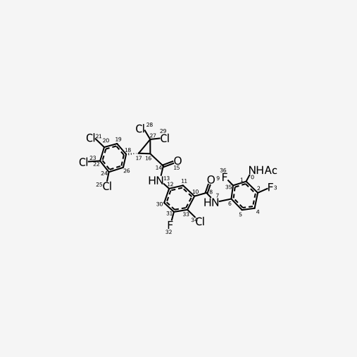 CC(=O)Nc1c(F)ccc(NC(=O)c2cc(NC(=O)C3[C@H](c4cc(Cl)c(Cl)c(Cl)c4)C3(Cl)Cl)cc(F)c2Cl)c1F